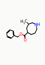 CC1CNCCCC(C(=O)OCc2ccccc2)C1